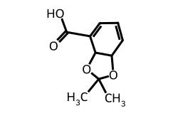 CC1(C)OC2C=CC=C(C(=O)O)C2O1